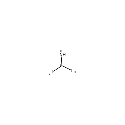 [NH]C(I)I